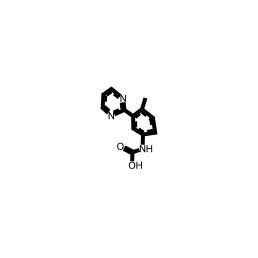 Cc1ccc(NC(=O)O)cc1-c1ncccn1